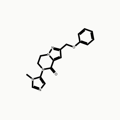 Cn1cncc1N1CCn2nc(COc3ccccc3)cc2C1=O